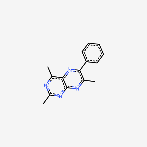 Cc1nc(C)c2nc(-c3ccccc3)c(C)nc2n1